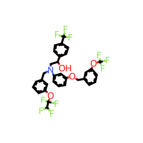 OC(CN(Cc1cccc(OC(F)(F)C(F)F)c1)c1cccc(OCc2cccc(OC(F)(F)F)c2)c1)c1ccc(C(F)(F)F)cc1